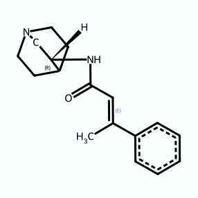 C/C(=C\C(=O)N[C@H]1CN2CCC1CC2)c1ccccc1